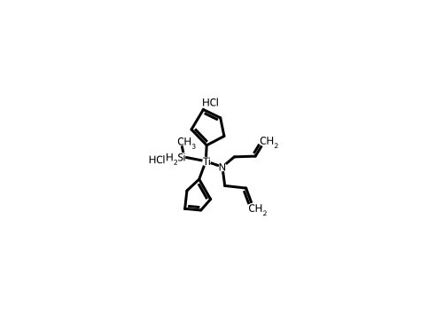 C=CC[N](CC=C)[Ti]([SiH2]C)([C]1=CC=CC1)[C]1=CC=CC1.Cl.Cl